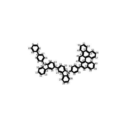 c1ccc(-c2ccc(-n3c4ccccc4c4cc(-c5ccc6c(c5)c5ccccc5n6-c5ccc(-c6cc7ccccc7c7c6ccc6c8ccccc8c8ccccc8c67)cc5)ccc43)cc2)cc1